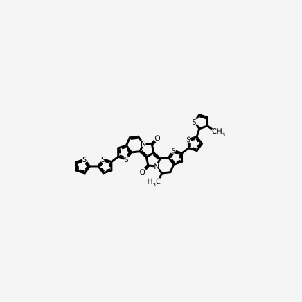 CC1C=CSC1c1ccc(-c2cc3c(s2)C2=C4C(=O)N5C=Cc6cc(-c7ccc(-c8cccs8)s7)sc6C5=C4C(=O)N2C(C)C3)s1